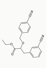 CCOC(=O)C(Cc1cccc(C#N)c1)OCc1ccc(C#N)cc1